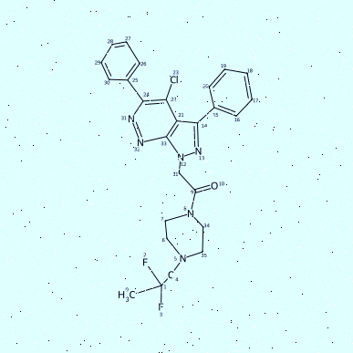 CC(F)(F)CN1CCN(C(=O)Cn2nc(-c3ccccc3)c3c(Cl)c(-c4ccccc4)nnc32)CC1